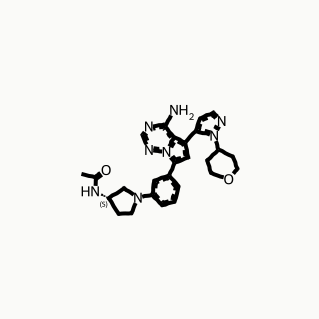 CC(=O)N[C@H]1CCN(c2cccc(-c3cc(-c4ccnn4C4CCOCC4)c4c(N)ncnn34)c2)C1